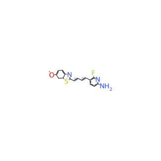 COC1=CC=C2N=C(/C=C/C=C/c3ccc(N)nc3F)SC2C1